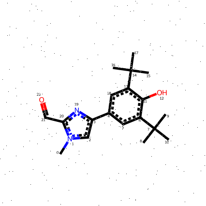 Cn1cc(-c2cc(C(C)(C)C)c(O)c(C(C)(C)C)c2)nc1C=O